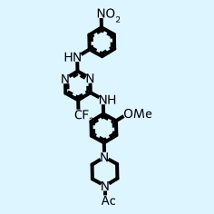 COc1cc(N2CCN(C(C)=O)CC2)ccc1Nc1nc(Nc2cccc([N+](=O)[O-])c2)ncc1C(F)(F)F